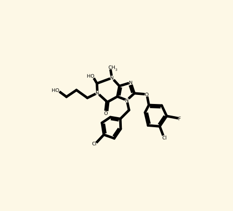 CN1c2nc(Oc3ccc(Cl)c(F)c3)n(Cc3ccc(Cl)cc3)c2C(=O)N(CCCO)C1O